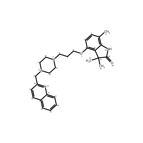 Cc1ccc(OCCCN2CCN(Cc3ccc4ccccc4n3)CC2)c2c1NC(=O)C2(C)C